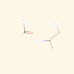 CC(N)=CN.NC(=O)O